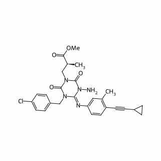 COC(=O)[C@@H](C)Cn1c(=O)n(N)/c(=N\c2ccc(C#CC3CC3)c(C)c2)n(Cc2ccc(Cl)cc2)c1=O